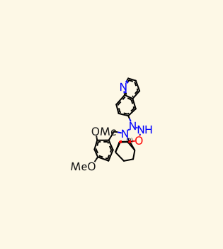 COc1ccc(CN2N(c3ccc4ncccc4c3)NO[C@@]23CC2CCC3CC2)c(OC)c1